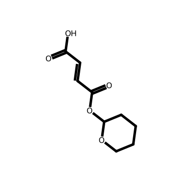 O=C(O)C=CC(=O)OC1CCCCO1